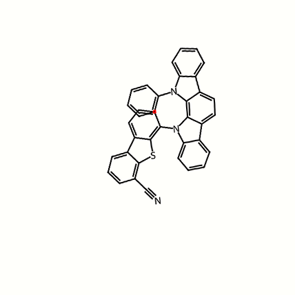 N#Cc1cccc2c1sc1c(-n3c4ccccc4c4ccc5c6ccccc6n(-c6ccccc6)c5c43)cccc12